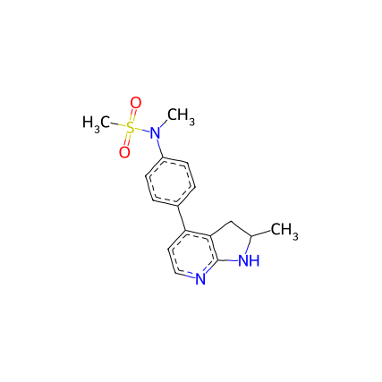 CC1Cc2c(-c3ccc(N(C)S(C)(=O)=O)cc3)ccnc2N1